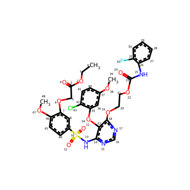 CCOC(=O)COc1cc(S(=O)(=O)Nc2ncnc(OCCOC(=O)Nc3ccccc3F)c2Oc2cc(OC)ccc2Cl)ccc1OC